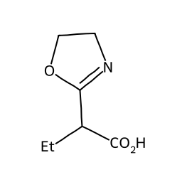 CCC(C(=O)O)C1=NCCO1